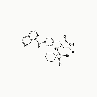 O=C1C(Br)=C(N[C@](CCO)(Cc2ccc(Nc3nccc4ccncc34)cc2)C(=O)O)C12CCCCC2